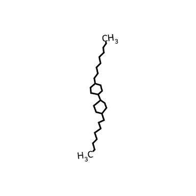 CCCCCCCCCC1CCC(C2CCC(CCCCCCCC)CC2)CC1